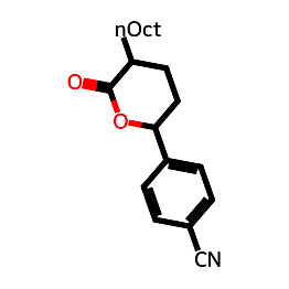 CCCCCCCCC1CCC(c2ccc(C#N)cc2)OC1=O